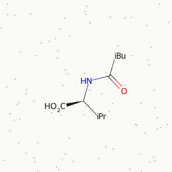 CCC(C)C(=O)N[C@H](C(=O)O)C(C)C